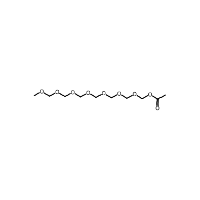 COCOCOCOCOCOCOCOC(C)=O